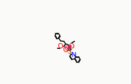 CCOC(=O)C(CCc1ccccc1)CP(=O)(CSc1ccc2ccccc2n1)OCC